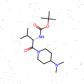 CC(C)[C@H](NC(=O)OC(C)(C)C)C(=O)N1CCC(N(C)C)CC1